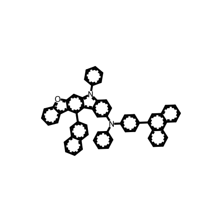 c1ccc(N(c2ccc(-c3cc4ccccc4c4ccccc34)cc2)c2ccc3c(c2)c2c(-c4ccc5ccccc5c4)c4c(cc2n3-c2ccccc2)oc2ccccc24)cc1